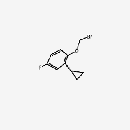 Fc1ccc(OCBr)c(C2CC2)c1